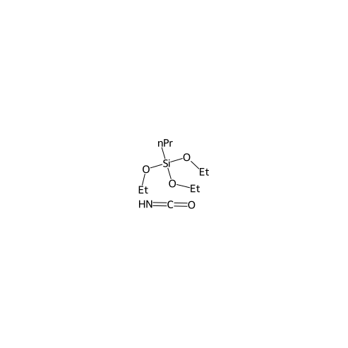 CCC[Si](OCC)(OCC)OCC.N=C=O